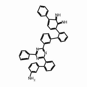 N=C1C(=N)C(c2ccccc2-c2cccc(-c3nc(-c4ccccc4)nc(-c4ccccc4-c4cccc(N)c4)n3)c2)=CC=C1c1ccccc1